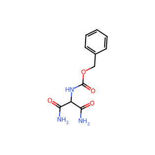 NC(=O)C(NC(=O)OCc1ccccc1)C(N)=O